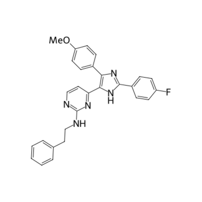 COc1ccc(-c2nc(-c3ccc(F)cc3)[nH]c2-c2ccnc(NCCc3ccccc3)n2)cc1